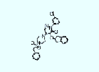 O=c1c(OC2Cc3ccccc3C2)c(N2CCN(S(=O)(=O)Cc3ccccc3)CC2)cnn1-c1cccc(Cl)c1